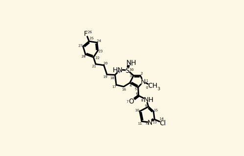 Cn1cc2c(c1C(=O)Nc1ccnc(Cl)c1)CCC(CCCc1ccc(F)cc1)NS2=N